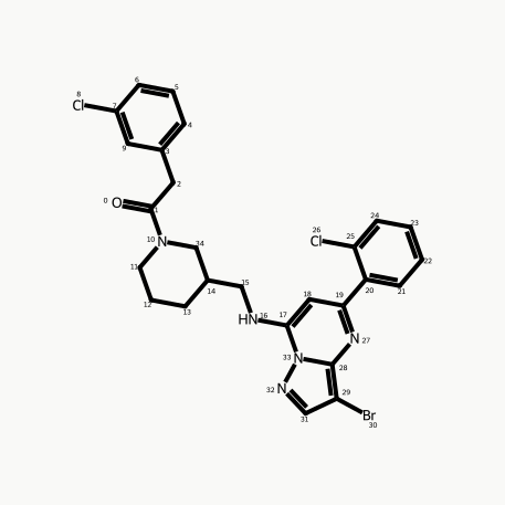 O=C(Cc1cccc(Cl)c1)N1CCCC(CNc2cc(-c3ccccc3Cl)nc3c(Br)cnn23)C1